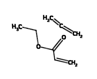 C=C=C.C=CC(=O)OCC